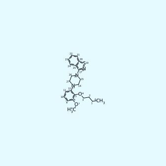 CCCCOc1c(OC)[c]ccc1N1CCN(c2nsc3ccccc23)CC1